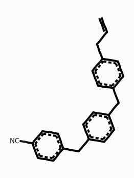 C=CCc1ccc(Cc2ccc(Cc3ccc(C#N)cc3)cc2)cc1